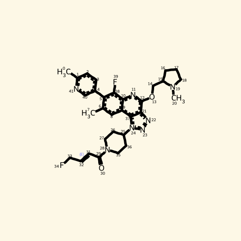 Cc1ccc(-c2c(C)cc3c(nc(OCC4CCCN4C)c4nnn(C5CCN(C(=O)/C=C/CF)CC5)c43)c2F)cn1